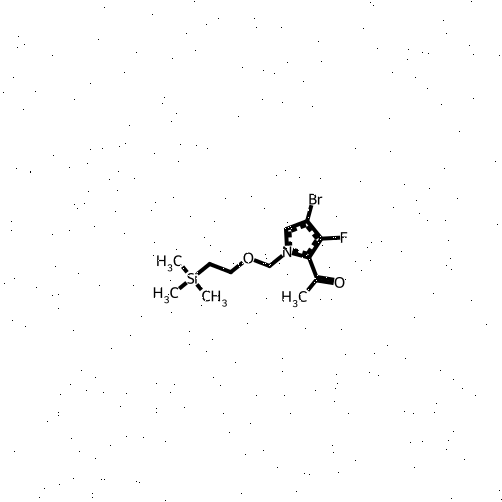 CC(=O)c1c(F)c(Br)cn1COCC[Si](C)(C)C